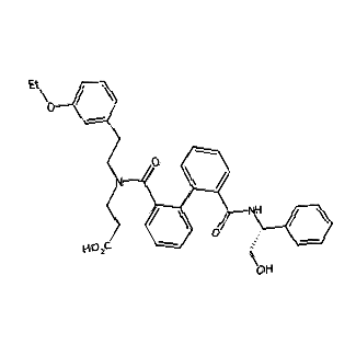 CCOc1cccc(CCN(CCC(=O)O)C(=O)c2ccccc2-c2ccccc2C(=O)N[C@@H](CO)c2ccccc2)c1